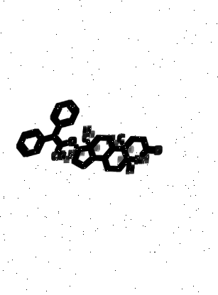 C[C@]12CCC3C(CC[C@H]4NC(=O)CC[C@]34C)C1CC[C@@H]2OC(C(=O)O)C(c1ccccc1)c1ccccc1